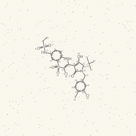 CCS(=O)(=O)Nc1ccc2c(c1)S(=O)(=O)C(Cl)=C(C1=C(O)[C@H](C(C)(C)C)N(Cc3ccc(F)c(Cl)c3)C1=O)N2